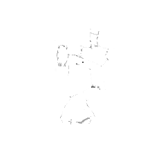 O=C(N[C@]1(c2ccccc2)CCCNC1)C1CCCNCC1